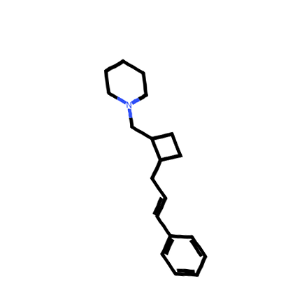 C(=C\c1ccccc1)/CC1CCC1CN1CCCCC1